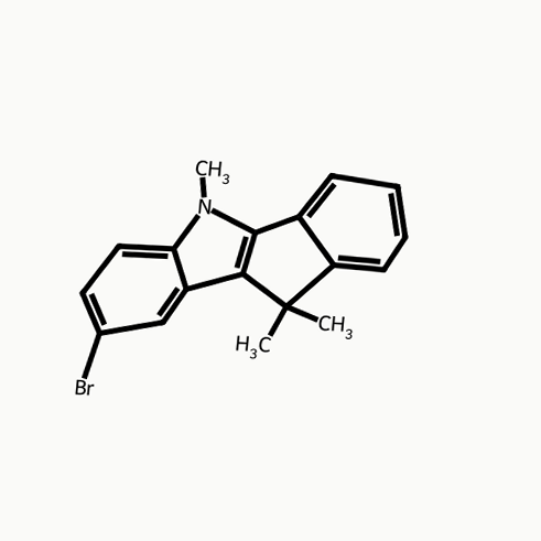 Cn1c2c(c3cc(Br)ccc31)C(C)(C)c1ccccc1-2